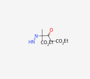 CCOC(=O)CC(=O)C(C)(N=N)C(=O)OCC